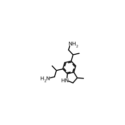 CC(CN)c1cc(C(C)CN)c2c(c1)C(C)CN2